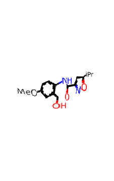 COc1ccc(NC(=O)c2cc(C(C)C)on2)c(CO)c1